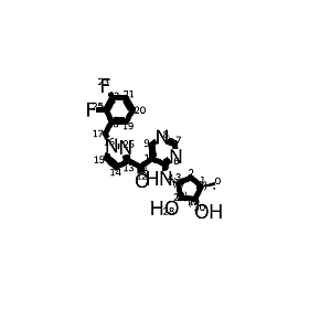 [CH2][C@@H]1C[C@@H](Nc2ncncc2C(=O)c2ccn(Cc3cccc(F)c3F)n2)[C@H](O)[C@@H]1O